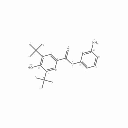 CC(C)(C)c1cc(C(=O)Nc2cccc(N)c2)cc(C(C)(C)C)c1O